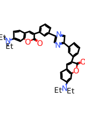 CCN(CC)c1ccc2cc(-c3cccc(-c4cnc(-c5cccc(-c6cc7ccc(N(CC)CC)cc7oc6=O)c5)cn4)c3)c(=O)oc2c1